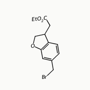 CCOC(=O)CC1COc2cc(CBr)ccc21